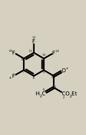 C=C(C(=O)OCC)C(=O)c1cc(F)c(F)c(F)c1F